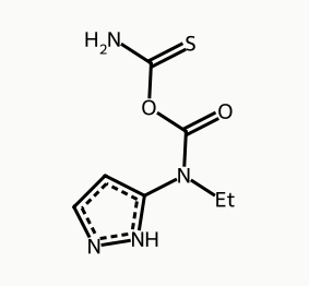 CCN(C(=O)OC(N)=S)c1ccn[nH]1